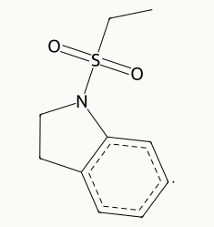 CCS(=O)(=O)N1CCc2cc[c]cc21